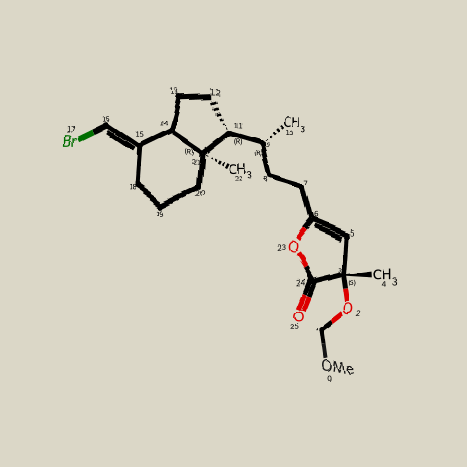 COCO[C@@]1(C)C=C(CC[C@@H](C)[C@H]2CCC3C(=CBr)CCC[C@@]32C)OC1=O